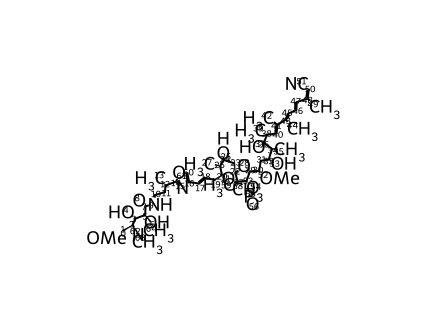 COC[C@@H]([C@H](O)[C@H](O)C(=O)NCC[C@H](C)c1nc(/C=C/C[C@@H]2O[C@]3(C[C@@H](O)[C@@H]2C)O[C@H]([C@H](C[C@H](O)[C@H](C)[C@H](O)[C@H](C)/C=C(C)/C(C)=C/C=C/C(C)=C\C#N)OC)[C@H](OP=O)C3(C)C)co1)N(C)C